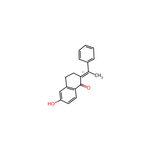 C/C(=C1/CCc2cc(O)ccc2C1=O)c1ccccc1